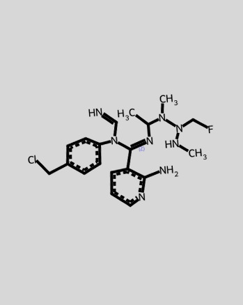 CNN(CF)N(C)C(C)/N=C(/c1cccnc1N)N(C=N)c1ccc(CCl)cc1